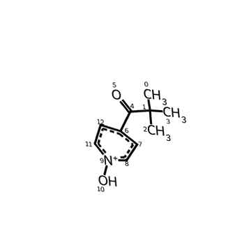 CC(C)(C)C(=O)c1cc[n+](O)cc1